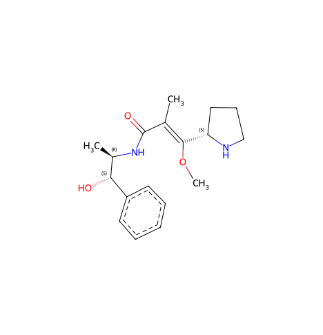 COC(=C(C)C(=O)N[C@H](C)[C@@H](O)c1ccccc1)[C@@H]1CCCN1